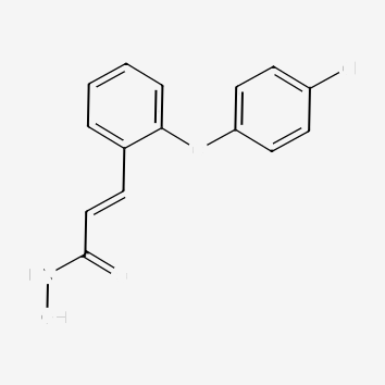 O=C(C=Cc1ccccc1Oc1ccc(Cl)cc1)NO